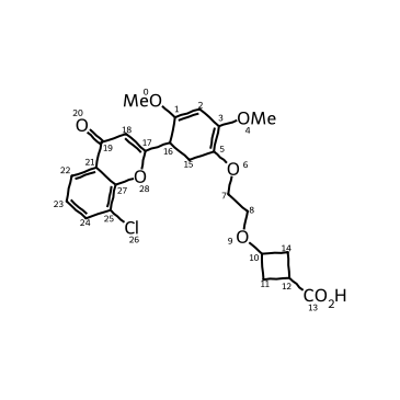 COC1=CC(OC)=C(OCCOC2CC(C(=O)O)C2)CC1c1cc(=O)c2cccc(Cl)c2o1